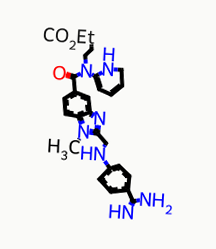 CCOC(=O)CCN(C(=O)c1ccc2c(c1)nc(CNc1ccc(C(=N)N)cc1)n2C)C1=CC=CCN1